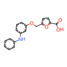 O=C(O)c1ccc(COc2cccc(Nc3ccccc3)c2)o1